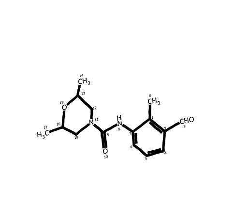 Cc1c(C=O)cccc1NC(=O)N1CC(C)OC(C)C1